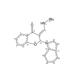 CC(C)(C)N/C=C1\C(=O)c2ccccc2OC1n1ccc2ccccc21